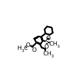 CCCc1c(C(=O)OC)ccc(C2CCCCC2)c1S(C)(=O)=O